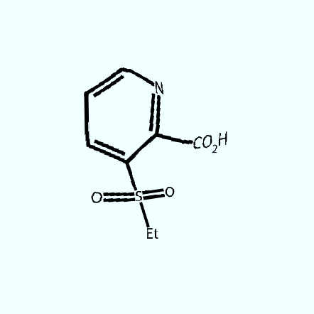 CCS(=O)(=O)c1cccnc1C(=O)O